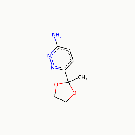 CC1(c2ccc(N)nn2)OCCO1